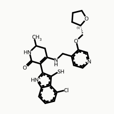 CC1CC(NCc2ccncc2OC[C@@H]2CCCO2)=C(c2[nH]c3cccc(Cl)c3c2S)C(=O)N1